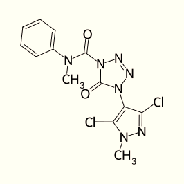 CN(C(=O)n1nnn(-c2c(Cl)nn(C)c2Cl)c1=O)c1ccccc1